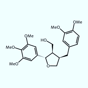 COc1ccc(C[C@H]2CO[C@H](c3cc(OC)c(OC)c(OC)c3)[C@H]2CO)cc1OC